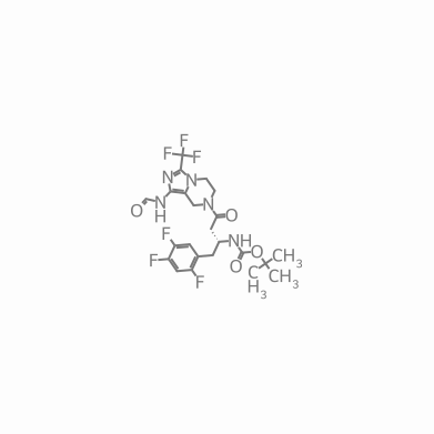 CC(C)(C)OC(=O)N[C@@H](CC(=O)N1CCn2c(C(F)(F)F)nc(NC=O)c2C1)Cc1cc(F)c(F)cc1F